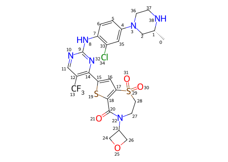 C[C@@H]1CN(c2ccc(Nc3ncc(C(F)(F)F)c(-c4cc5c(s4)C(=O)N(C4COC4)CCS5(=O)=O)n3)c(Cl)c2)CCN1